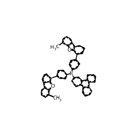 Cc1cccc2c1oc1c(-c3ccc(N(c4ccc(-c5cccc6c5oc5c(C)cccc56)cc4)c4ccc5c6ccccc6c6ccccc6c5c4)cc3)cccc12